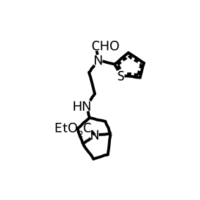 CCOC(=O)N1C2CCC1CC(NCCN(C=O)c1cccs1)C2